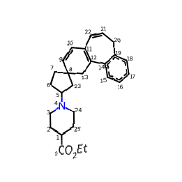 CCOC(=O)C1CCN(C2CCC3(C=CC4=C(C3)c3ccccc3CC=C4)C2)CC1